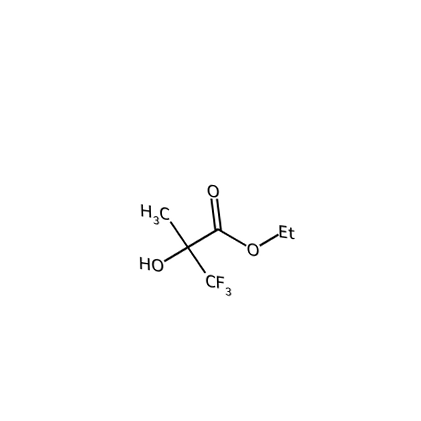 CCOC(=O)C(C)(O)C(F)(F)F